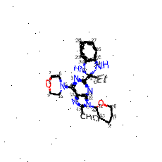 CCC1(c2nc(N3CCOCC3)c3nc(C=O)n(C4CCCCO4)c3n2)Nc2ccccc2N1